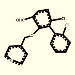 O=Cc1ccc(Cl)c(-c2ccccc2Cl)c1OCc1ccccc1